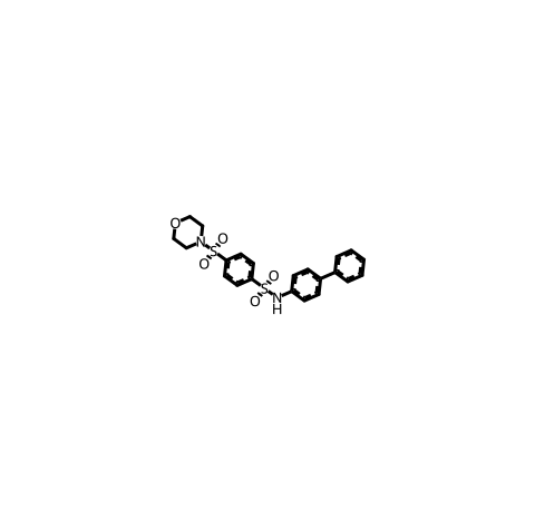 O=S(=O)(Nc1ccc(-c2ccccc2)cc1)c1ccc(S(=O)(=O)N2CCOCC2)cc1